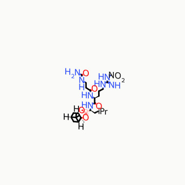 CC(C)C[C@H](NC(=O)[C@H](CCCNC(=N)N[N+](=O)[O-])NC(=O)CCNC(N)=O)B1O[C@@H]2C[C@@H]3C[C@@H](C3(C)C)[C@]2(C)O1